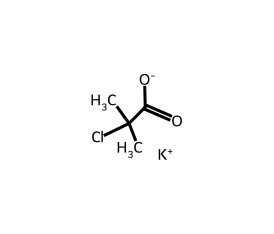 CC(C)(Cl)C(=O)[O-].[K+]